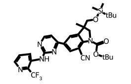 CC(C)(C)OC(=O)N1CC(C)(CO[Si](C)(C)C(C)(C)C)c2cc(-c3ccnc(Nc4cccnc4C(F)(F)F)n3)cc(C#N)c21